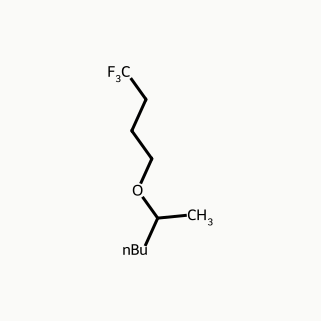 CCCCC(C)OCCCC(F)(F)F